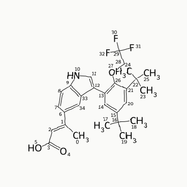 C/C(=C\C(=O)O)c1ccc2[nH]cc(-c3cc(C(C)(C)C)cc(C(C)(C)C)c3OCC(F)(F)F)c2c1